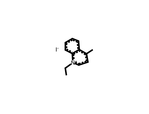 CC[n+]1ccc(C)c2ccccc21.[I-]